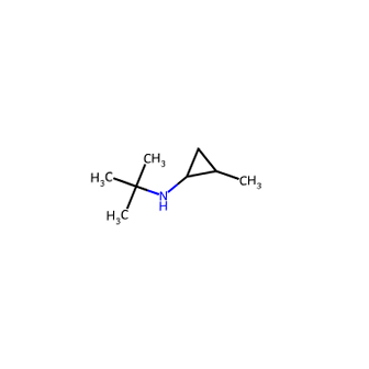 CC1CC1NC(C)(C)C